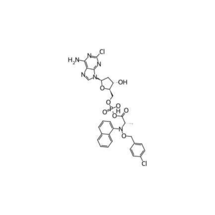 C[C@@H](C(=O)OP(=O)(O)OC[C@H]1O[C@@H](n2cnc3c(N)nc(Cl)nc32)C[C@@H]1O)N(OCc1ccc(Cl)cc1)c1cccc2ccccc12